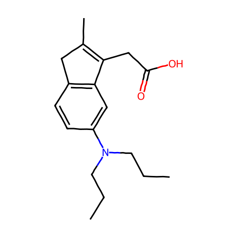 CCCN(CCC)c1ccc2c(c1)C(CC(=O)O)=C(C)C2